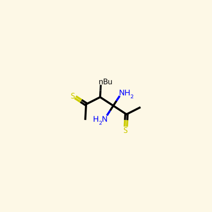 CCCCC(C(C)=S)C(N)(N)C(C)=S